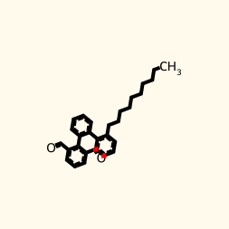 CCCCCCCCCCc1ccccc1-c1ccccc1-c1c(C=O)cccc1C=O